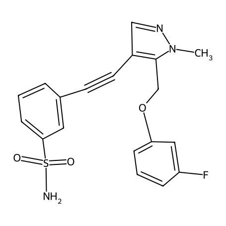 Cn1ncc(C#Cc2cccc(S(N)(=O)=O)c2)c1COc1cccc(F)c1